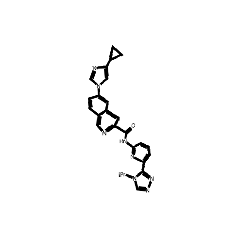 CC(C)n1cnnc1-c1cccc(NC(=O)c2cc3cc(-n4cnc(C5CC5)c4)ccc3cn2)n1